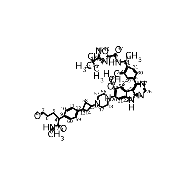 CNC(=O)C(CCC=O)c1ccc(C2CC(N3CCN(c4cc5[nH]c6ncnc(-c7ccc([C@@H](C)NC(=O)c8nc(C(C)(C)C)no8)c(C)c7)c6c5cc4OC)CC3)C2)cc1